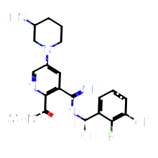 CNC(=O)c1ncc(N2CCCC(N)C2)cc1C(=N)N[C@H](C)c1cccc(C(F)(F)F)c1F